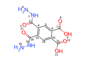 NNC(=O)c1cc(C(=O)O)c(C(=O)O)cc1C(=O)NN